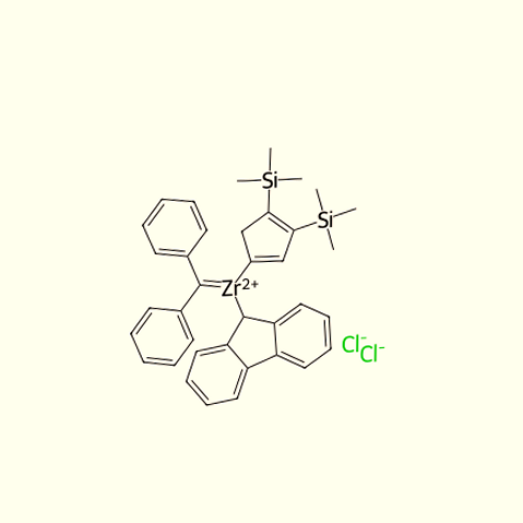 C[Si](C)(C)C1=C([Si](C)(C)C)C[C]([Zr+2](=[C](c2ccccc2)c2ccccc2)[CH]2c3ccccc3-c3ccccc32)=C1.[Cl-].[Cl-]